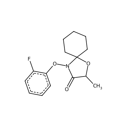 CC1OC2(CCCCC2)N(Oc2ccccc2F)C1=O